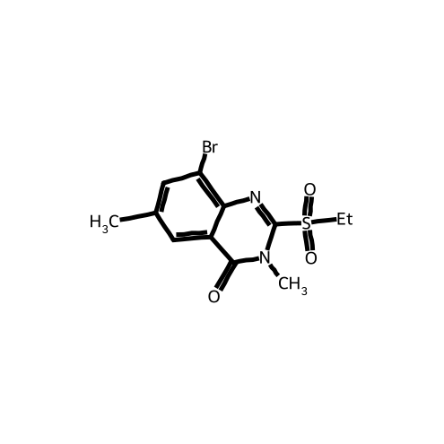 CCS(=O)(=O)c1nc2c(Br)cc(C)cc2c(=O)n1C